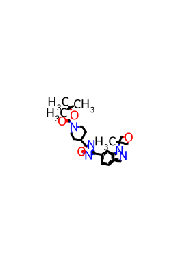 CC(C)(C)OC(=O)N1CCC(c2nc(-c3ccc4cnn(C5(C)COC5)c4c3)no2)CC1